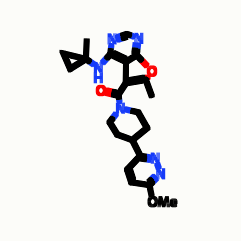 COc1ccc(C2CCN(C(=O)c3c(C)oc4ncnc(NC5(C)CC5)c34)CC2)nn1